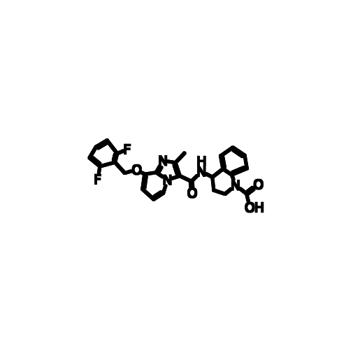 Cc1nc2c(OCc3c(F)cccc3F)cccn2c1C(=O)NC1CCN(C(=O)O)c2ccccc21